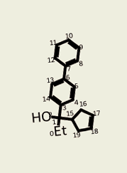 CCC(O)(c1ccc(-c2ccccc2)cc1)C1CC=CC1